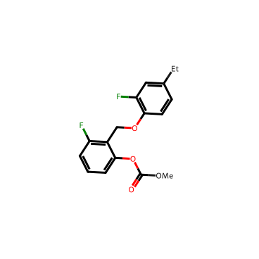 CCc1ccc(OCc2c(F)cccc2OC(=O)OC)c(F)c1